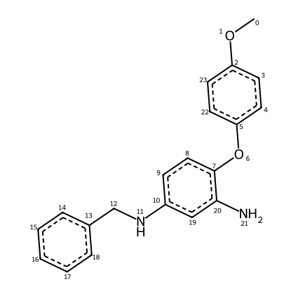 COc1ccc(Oc2ccc(NCc3ccccc3)cc2N)cc1